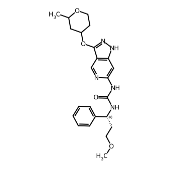 COCC[C@@H](NC(=O)Nc1cc2[nH]nc(OC3CCOC(C)C3)c2cn1)c1ccccc1